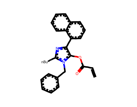 C=CC(=O)Oc1c(-c2cccc3ccccc23)nc(CCCC)n1Cc1ccccc1